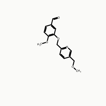 COCc1ccc(COc2cc(C=O)ccc2OC)nc1